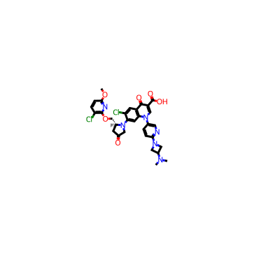 COc1ccc(Cl)c(OC[C@H]2CC(=O)CN2c2cc3c(cc2Cl)c(=O)c(C(=O)O)cn3-c2ccc(N3CC(N(C)C)C3)nc2)n1